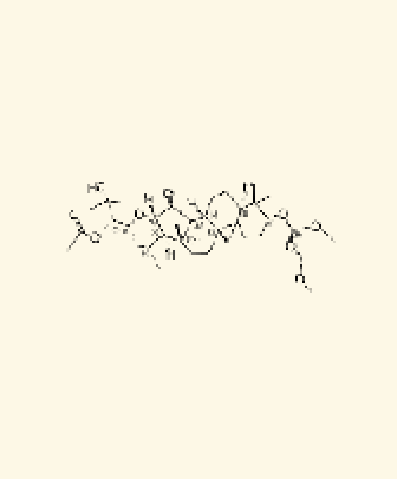 COCO[C@H](OC)O[C@H]1CCC23C[C@]24CC[C@]2(C)[C@H]5[C@H](C)C[C@H]([C@H](OC(C)=O)C(C)(C)O)O[C@@H]5C(=O)[C@@]2(C)[C@@H]4CC[C@H]3C1(C)C